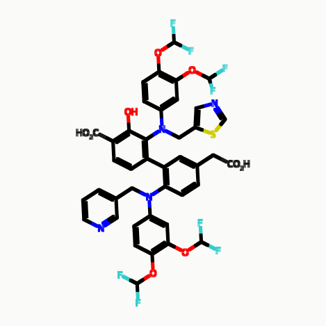 O=C(O)Cc1ccc(N(Cc2cccnc2)c2ccc(OC(F)F)c(OC(F)F)c2)c(-c2ccc(C(=O)O)c(O)c2N(Cc2cncs2)c2ccc(OC(F)F)c(OC(F)F)c2)c1